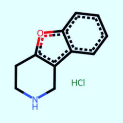 Cl.c1ccc2c3c(oc2c1)CCNC3